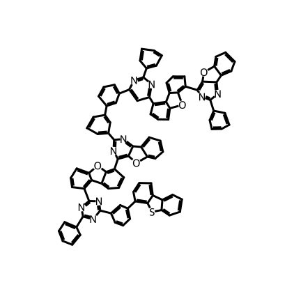 c1ccc(-c2nc(-c3cccc(-c4cccc(-c5nc(-c6cccc7c6oc6cccc(-c8nc(-c9ccccc9)nc(-c9cccc(-c%10cccc%11c%10sc%10ccccc%10%11)c9)n8)c67)c6oc7ccccc7c6n5)c4)c3)cc(-c3cccc4oc5c(-c6nc(-c7ccccc7)nc7c6oc6ccccc67)cccc5c34)n2)cc1